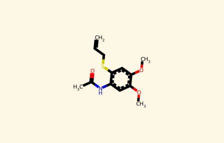 C=CCSc1cc(OC)c(OC)cc1NC(C)=O